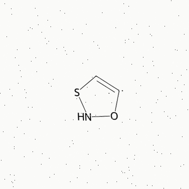 [C]1=CSNO1